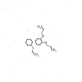 C=CCOc1ccccc1OCC=C.C=CCc1ccccc1